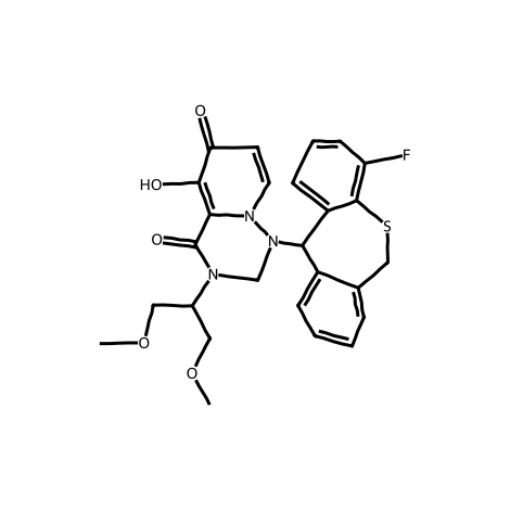 COCC(COC)N1CN(C2c3ccccc3CSc3c(F)cccc32)n2ccc(=O)c(O)c2C1=O